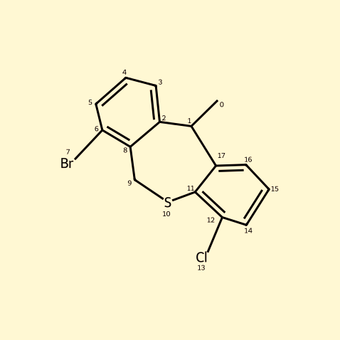 CC1c2cccc(Br)c2CSc2c(Cl)cccc21